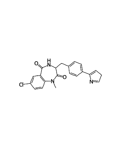 CN1C(=O)C(Cc2ccc(C3=CCC=N3)cc2)NC(=O)c2cc(Cl)ccc21